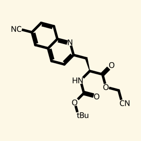 CC(C)(C)OC(=O)N[C@@H](Cc1ccc2cc(C#N)ccc2n1)C(=O)OCC#N